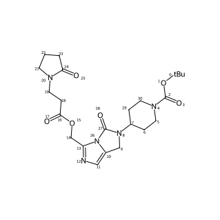 CC(C)(C)OC(=O)N1CCC(N2Cc3cnc(COC(=O)CCN4CCCC4=O)n3C2=O)CC1